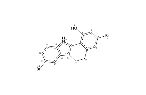 Oc1cc(Br)cc2c1-c1[nH]c3ccc(Br)cc3c1CC2